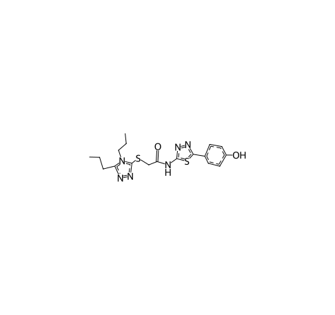 CCCc1nnc(SCC(=O)Nc2nnc(-c3ccc(O)cc3)s2)n1CCC